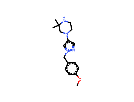 COc1ccc(Cn2cc(N3CCNC(C)(C)C3)cn2)cc1